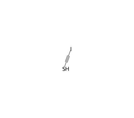 SC#CI